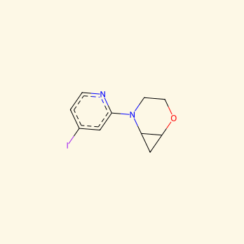 Ic1ccnc(N2CCOC3CC32)c1